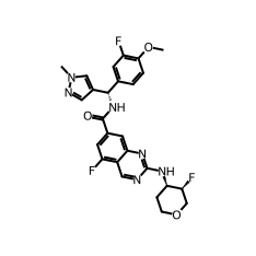 COc1ccc([C@H](NC(=O)c2cc(F)c3cnc(N[C@@H]4CCOC[C@@H]4F)nc3c2)c2cnn(C)c2)cc1F